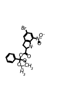 COC(OC)(OC(=O)C1Cc2cc(Br)cc([N+](=O)[O-])c2[N]1)c1ccccc1